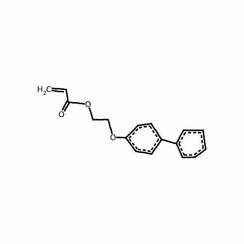 C=CC(=O)OCCOc1ccc(-c2ccccc2)cc1